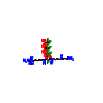 N=C(N)NCCCCCCNC(=O)C(F)C(=O)NCCCCNCCCN.O=C(O)C(F)(F)F.O=C(O)C(F)(F)F.O=C(O)C(F)(F)F